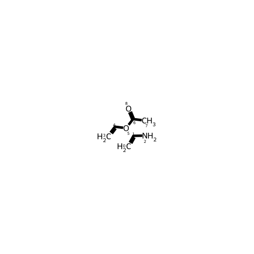 C=CN.C=COC(C)=O